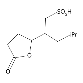 CC(C)CC(CS(=O)(=O)O)C1CCC(=O)O1